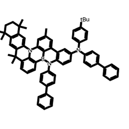 Cc1cc2c3c(c1)N1c4cc5c(cc4C(C)(C)c4cccc(c41)B3N(c1ccc(-c3ccccc3)cc1)c1ccc(N(c3ccc(-c4ccccc4)cc3)c3ccc(C(C)(C)C)cc3)cc1-2)C(C)(C)CCC5(C)C